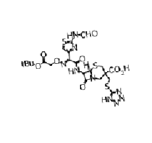 CC(C)(C)OC(=O)CON=C(C(=O)NC1C(=O)N2CC(CSc3nnn[nH]3)(C(=O)O)CS[C@H]12)c1csc(NC=O)n1